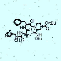 CC(C)[C@H](NC(=O)N(C)Cc1cncs1)C(=O)N[C@@H](Cc1ccccc1)[C@@H](O)CN1CCN(C(=O)OC(C)(C)C)C[C@H]1C(=O)NC(C)(C)C